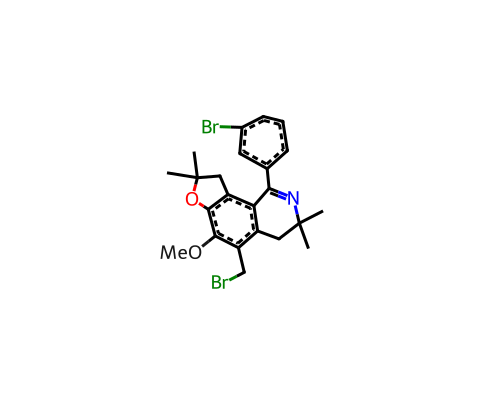 COc1c(CBr)c2c(c3c1OC(C)(C)C3)C(c1cccc(Br)c1)=NC(C)(C)C2